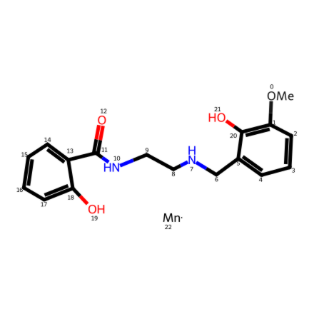 COc1cccc(CNCCNC(=O)c2ccccc2O)c1O.[Mn]